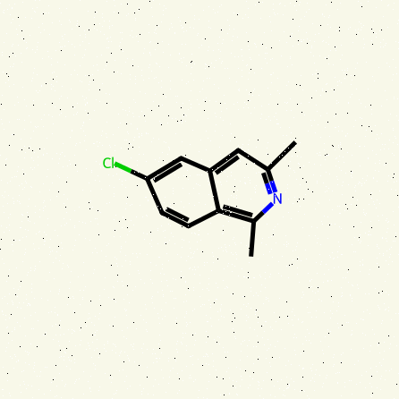 Cc1cc2cc(Cl)ccc2c(C)n1